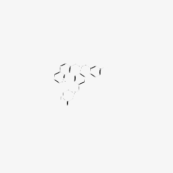 COc1cccc(CN(Cc2ccc3cccnc3c2)c2ccc(CN3CCNC(=O)C3)cc2)c1